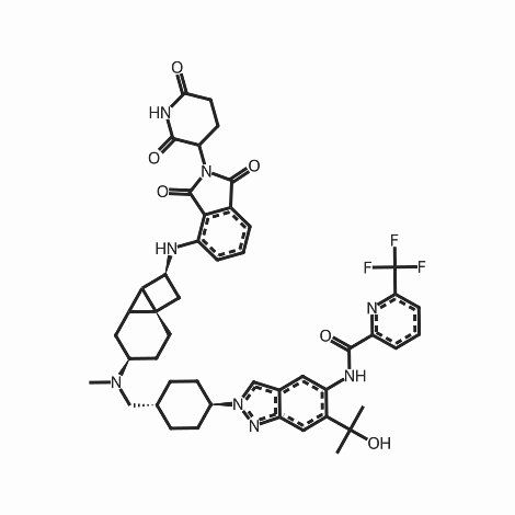 CN(C[C@H]1CC[C@H](n2cc3cc(NC(=O)c4cccc(C(F)(F)F)n4)c(C(C)(C)O)cc3n2)CC1)[C@@H]1CC[C@]23C[C@H](Nc4cccc5c4C(=O)N(C4CCC(=O)NC4=O)C5=O)C2C3C1